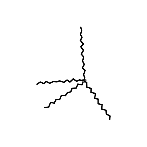 CCCCCCCCCCCCCCCC[N+](CCCCCCCCCCCCCC)(CCCCCCCCCCCCCC)CCCCCCCCCCCCCC